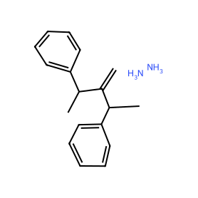 C=C(C(C)c1ccccc1)C(C)c1ccccc1.N.N